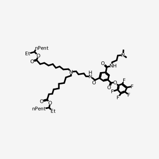 CCCCCC(CC)OC(=O)CCCCCCCCN(CCCCCCCCC(=O)OC(CC)CCCCC)CCCCNC(=O)c1cc(C(=O)NCCCN(C)C)cc(C(=O)Oc2c(F)c(F)c(F)c(F)c2F)c1